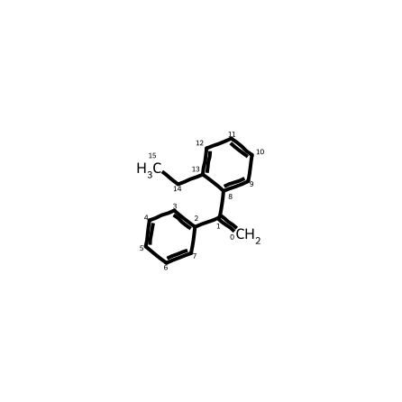 C=C(c1ccccc1)c1ccccc1CC